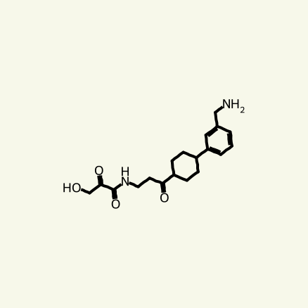 NCc1cccc(C2CCC(C(=O)CCNC(=O)C(=O)CO)CC2)c1